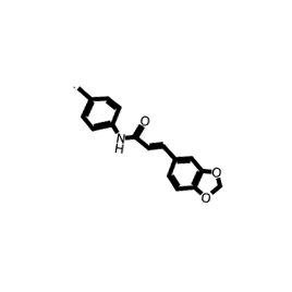 [CH2]c1ccc(NC(=O)/C=C/c2ccc3c(c2)OCO3)cc1